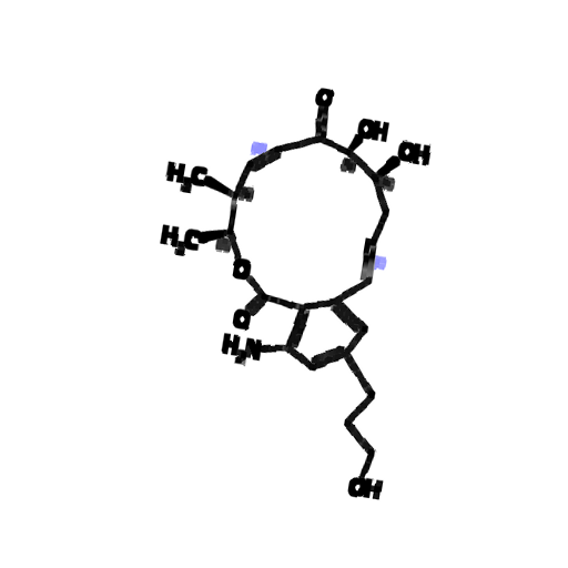 C[C@@H]1OC(=O)c2c(N)cc(CCCO)cc2/C=C/C[C@H](O)[C@H](O)C(=O)/C=C\[C@@H]1C